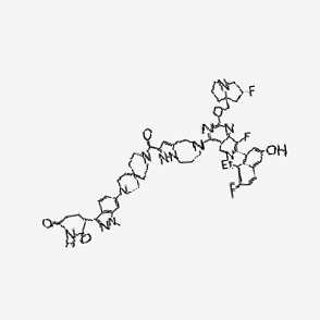 CCc1c(F)ccc2cc(O)cc(-c3ncc4c(N5CCCn6nc(C(=O)N7CCC8(CC7)CCN(c7ccc9c(C%10CCC(=O)NC%10=O)nn(C)c9c7)CC8)cc6C5)nc(OC[C@@]56CCCN5C[C@H](F)C6)nc4c3F)c12